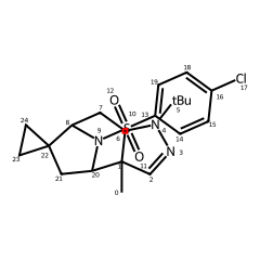 CC12C=NN(C(C)(C)C)C1CC1N(S(=O)(=O)c3ccc(Cl)cc3)C2CC12CC2